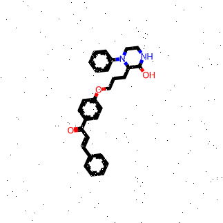 O=C(/C=C/c1ccccc1)c1ccc(OCCCC2C(O)NCCN2c2ccccc2)cc1